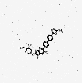 C[C@H]1C[C@@H](Oc2nc3nc(-c4ccc(-c5ccc(-c6nnc(N)o6)cc5)cc4)c(Cl)cc3[nH]2)CO[C@@H]1CO